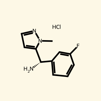 Cl.Cn1nccc1[C@@H](N)c1cccc(F)c1